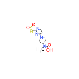 CN(C(=O)O)C1CCN(c2ccnc(C[SH](=O)=O)n2)CC1